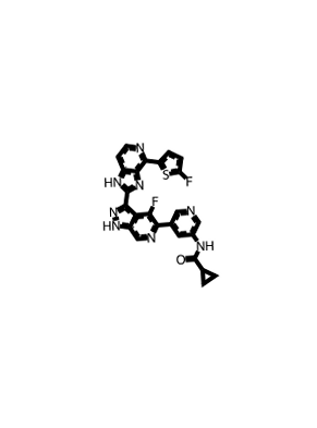 O=C(Nc1cncc(-c2ncc3[nH]nc(-c4nc5c(-c6ccc(F)s6)nccc5[nH]4)c3c2F)c1)C1CC1